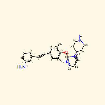 Cc1cc(C#Cc2cccc(N)c2)cc(C)c1OC1N=CC=CN1C1CCNCC1